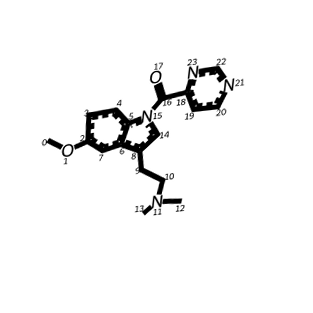 COc1ccc2c(c1)c(CCN(C)C)cn2C(=O)c1ccncn1